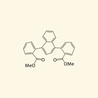 COC(=O)c1ccccc1-c1ccc(-c2ccccc2C(=O)OC)c2ccccc12